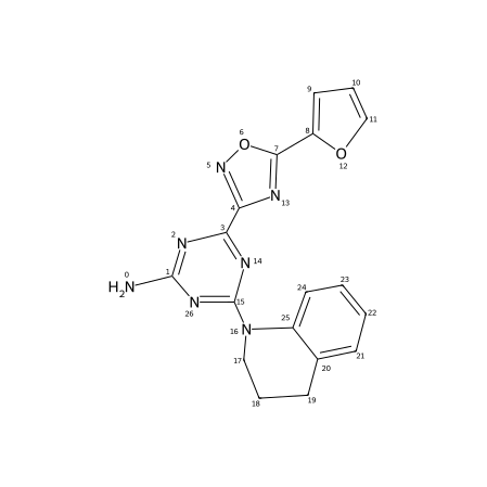 Nc1nc(-c2noc(-c3ccco3)n2)nc(N2CCCc3ccccc32)n1